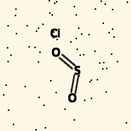 O=S=O.[C]